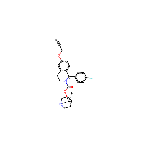 C#CCOc1ccc2c(c1)CCN(C(=O)O[C@@H]1CN3CCC1CC3)[C@@H]2c1ccc(F)cc1